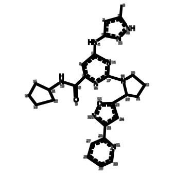 Cc1cc(Nc2cc(C(=O)NC3CCCC3)nc(N3CCCC3c3cc(-c4ccccn4)no3)n2)n[nH]1